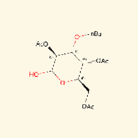 CCCCO[C@@H]1[C@H](OC(C)=O)[C@@H](COC(C)=O)OC(O)[C@H]1OC(C)=O